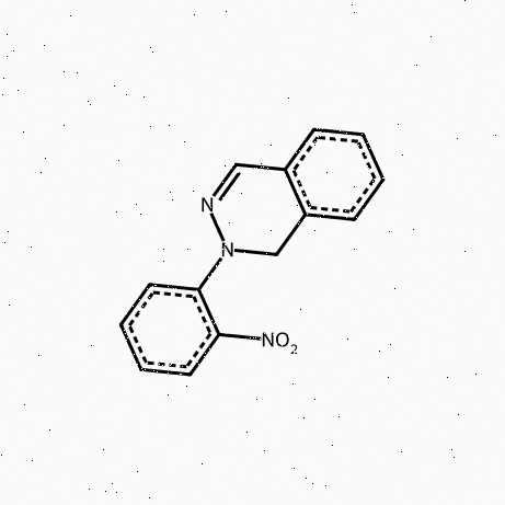 O=[N+]([O-])c1ccccc1N1Cc2ccccc2C=N1